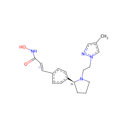 Cc1cnn(CCN2CCC[C@H]2c2ccc(/C=C/C(=O)NO)cc2)c1